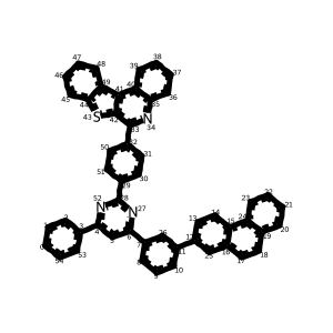 c1ccc(-c2cc(-c3cccc(-c4ccc5c(ccc6ccccc65)c4)c3)nc(-c3ccc(-c4nc5ccccc5c5c4sc4ccccc45)cc3)n2)cc1